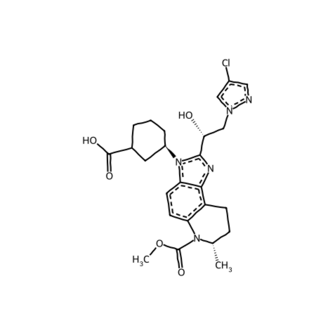 COC(=O)N1c2ccc3c(nc([C@H](O)Cn4cc(Cl)cn4)n3[C@@H]3CCCC(C(=O)O)C3)c2CC[C@@H]1C